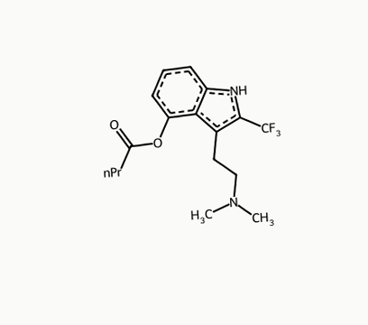 CCCC(=O)Oc1cccc2[nH]c(C(F)(F)F)c(CCN(C)C)c12